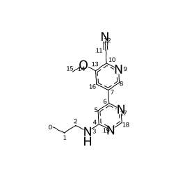 CCCNc1cc(-c2cnc(C#N)c(OC)c2)ncn1